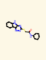 O=C(CSc1nnc2c(n1)[nH]c1ccccc12)Nc1ccccc1